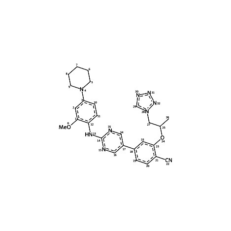 COc1cc(N2CCCCC2)ccc1Nc1ncc(-c2ccc(C#N)c(OC(C)Cn3cnnn3)c2)cn1